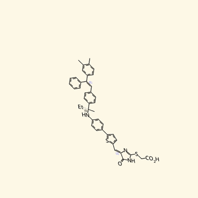 CC[C@](C)(Nc1ccc(-c2ccc(/C=C3\N=C(SCC(=O)O)NC3=O)s2)cc1)c1ccc(/C=C(\c2ccccc2)c2ccc(C)c(C)c2)cc1